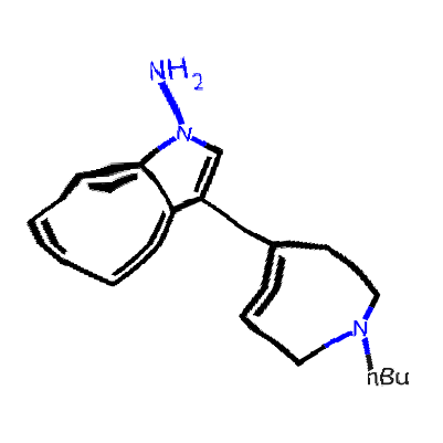 CCCCN1CC=C(c2cn(N)c3ccccc23)CC1